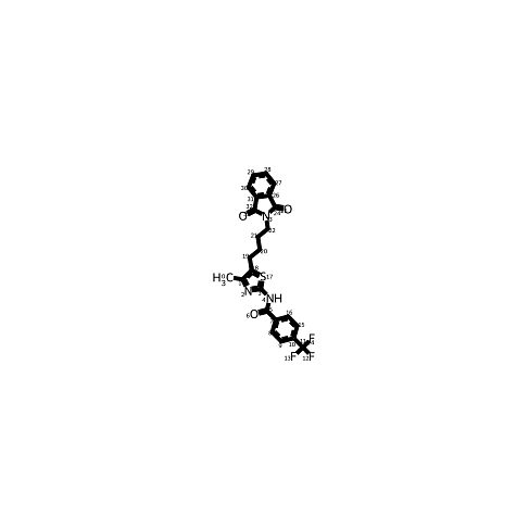 Cc1nc(NC(=O)c2ccc(C(F)(F)F)cc2)sc1CCCCN1C(=O)c2ccccc2C1=O